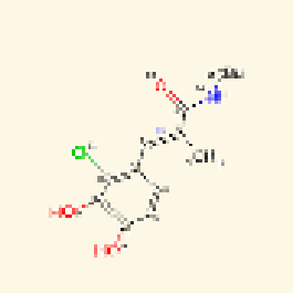 C/C(=C\c1ccc(O)c(O)c1Cl)C(=O)NC(C)(C)C